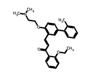 CCOc1ccccc1C(=O)C=Cc1cc(-c2ccccc2C)ccc1OCCN(C)C